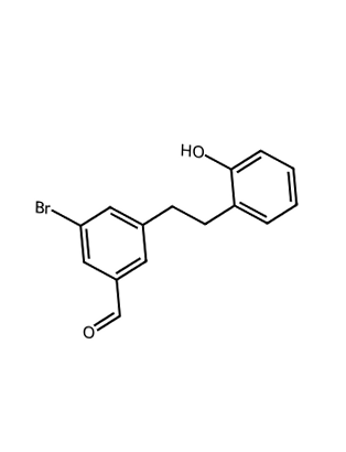 O=Cc1cc(Br)cc(CCc2ccccc2O)c1